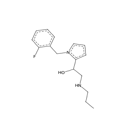 CCCNCC(O)c1cccn1Cc1ccccc1F